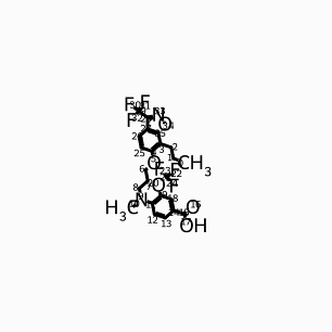 CCCc1c(OCCCN(C)c2ccc(C(=O)O)cc2OC(F)(F)F)ccc2c(C(F)(F)F)noc12